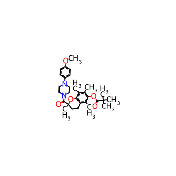 COc1ccc(N2CCN(C(=O)C3(C)CCc4c(C)c(OC(=O)C(C)(C)C)c(C)c(C)c4O3)CC2)cc1